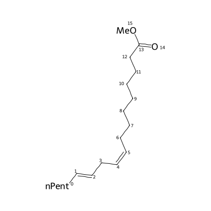 CCCCC/C=C/C/C=C\CCCCCCCC(=O)OC